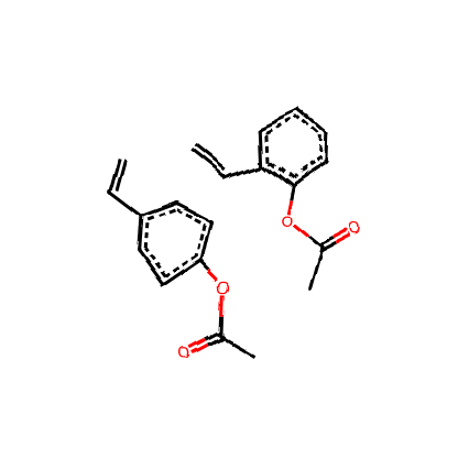 C=Cc1ccc(OC(C)=O)cc1.C=Cc1ccccc1OC(C)=O